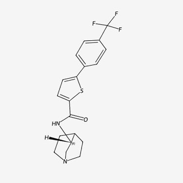 O=C(N[C@H]1CN2CCC1CC2)c1ccc(-c2ccc(C(F)(F)F)cc2)s1